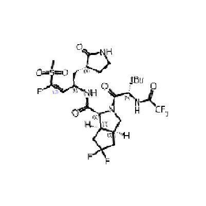 CC(C)(C)[C@H](NC(=O)C(F)(F)F)C(=O)N1C[C@H]2CC(F)(F)C[C@H]2[C@H]1C(=O)N[C@@H](/C=C(/F)S(C)(=O)=O)C[C@H]1CCNC1=O